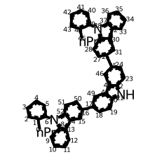 CCCc1ccccc1-n1c2ccccc2c2cc(-c3ccc4[nH]c5ccc(-c6ccc7c(c6)c6ccccc6n7-c6ccccc6CCC)cc5c4c3)ccc21